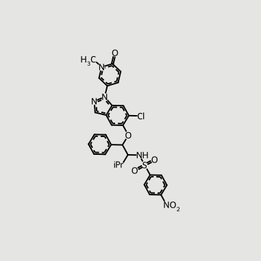 CC(C)C(NS(=O)(=O)c1ccc([N+](=O)[O-])cc1)C(Oc1cc2cnn(-c3ccc(=O)n(C)c3)c2cc1Cl)c1ccccc1